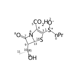 CCC[S+]([O-])C1=C(C(=O)O)N2C(=O)C([C@@H](C)O)C2S1